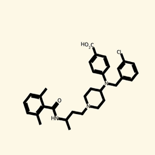 Cc1cccc(C)c1C(=O)NC(C)CCN1CCC(N(Cc2cccc(Cl)c2)c2ccc(C(=O)O)cc2)CC1